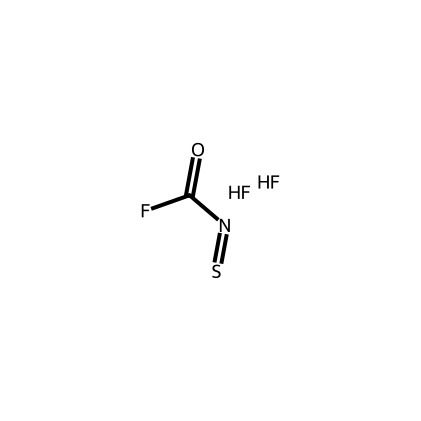 F.F.O=C(F)N=S